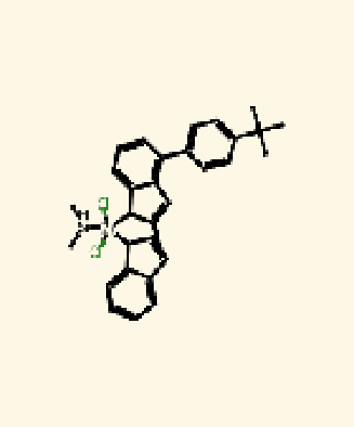 CC1=Cc2c(-c3ccc(C(C)(C)C)cc3)cccc2[CH]1[Zr]([Cl])([Cl])([CH]1C=Cc2ccccc21)[SiH](C)C